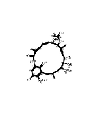 COC1/C=C\C=C(/C)C(=O)NC2=CC(=O)C(NC(C)=O)=C(CC(C)CC(OC)[C@H](O)[C@@H](C)/C=C(\C)C1OC(N)=O)C2=O